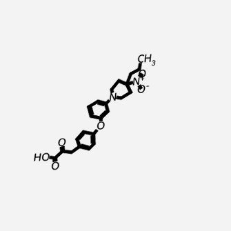 CCCC1([N+](=O)[O-])CCN(c2cccc(Oc3ccc(CC(=O)C(=O)O)cc3)c2)CC1